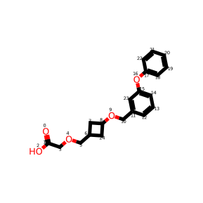 O=C(O)COCC1CC(OCc2cccc(Oc3ccccc3)c2)C1